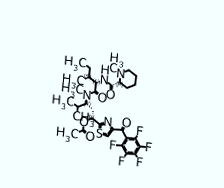 CC[C@H](C)[C@H](NC(=O)[C@H]1CCCCN1C)C(=O)N(C)[C@H](C[C@@H](OC(C)=O)c1nc(C(=O)c2c(F)c(F)c(F)c(F)c2F)cs1)C(C)C